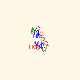 CC(c1nc2cccc(F)c2c(=O)n1-c1cccc(NC(=O)Nc2ccccc2C(F)(F)F)c1)N(C(=O)O)C(C)(C)C